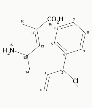 C=CC(Cl)c1ccccc1.CC(=CC(C)N)C(=O)O